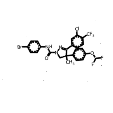 CC1(c2ccc(OC(F)F)cc2)CN(C(=O)Nc2ccc(Br)cc2)N=C1c1ccc(C(F)(F)F)c(Cl)c1